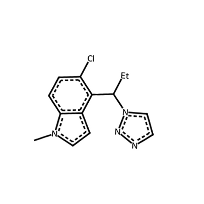 [CH2]CC(c1c(Cl)ccc2c1ccn2C)n1ccnn1